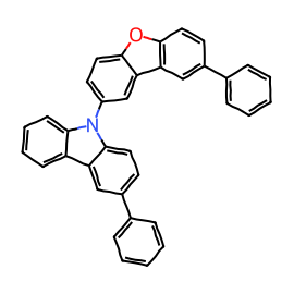 c1ccc(-c2ccc3oc4ccc(-n5c6ccccc6c6cc(-c7ccccc7)ccc65)cc4c3c2)cc1